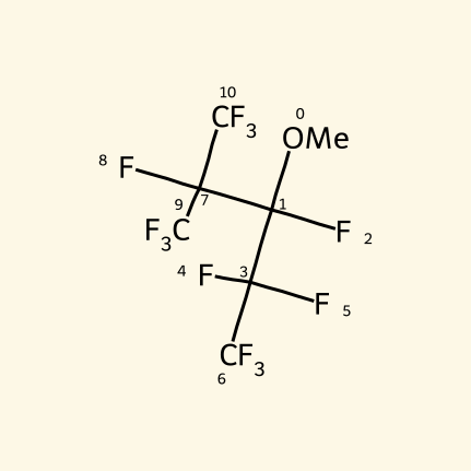 COC(F)(C(F)(F)C(F)(F)F)C(F)(C(F)(F)F)C(F)(F)F